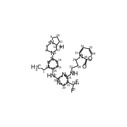 CCc1cc(N2CCN3CCC[C@H]3C2)ccc1Nc1ncc(C(F)F)c(NCCCN2C=CC=COC2=O)n1